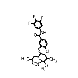 CCOC(OCC)C(C)CC(CCC(C)O)Sc1cc(C(=O)Nc2cc(F)c(F)c(F)c2)ccc1Cl